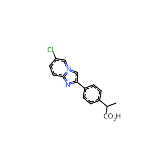 CC(C(=O)O)c1ccc(-c2cn3cc(Cl)ccc3n2)cc1